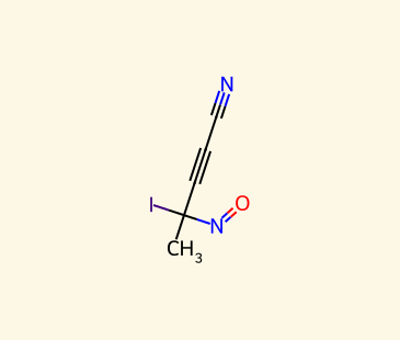 CC(I)(C#CC#N)N=O